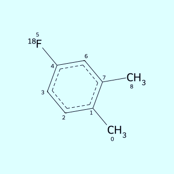 Cc1ccc([18F])cc1C